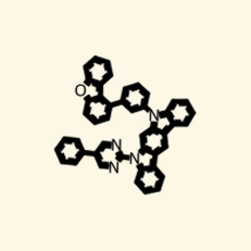 c1ccc(-c2cnc(-n3c4ccccc4c4cc5c6ccccc6n(-c6cccc(-c7cccc8oc9ccccc9c78)c6)c5cc43)nc2)cc1